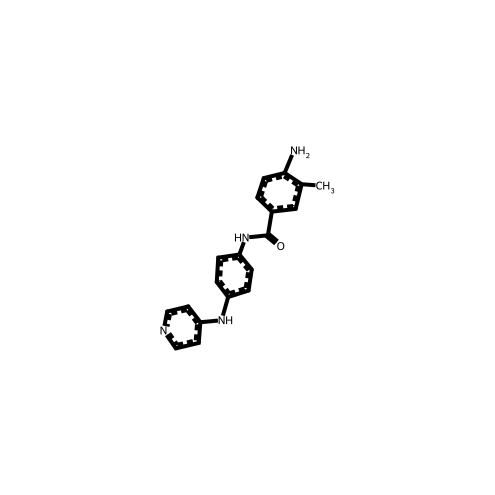 Cc1cc(C(=O)Nc2ccc(Nc3ccncc3)cc2)ccc1N